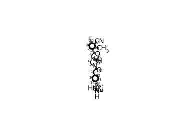 Cc1c([C@H]2CN3CCN(C(=O)Cc4ccc(N5C=NNN5)cc4)C[C@@H]3CO2)ccc(F)c1C#N